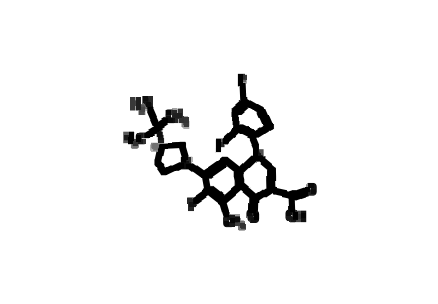 Cc1c(F)c(N2CC[C@H](C(C)(C)N)C2)cc2c1c(=O)c(C(=O)O)cn2-c1ccc(F)cc1F